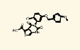 COc1ccc(COc2ccc(Cl)c(-n3c(=O)[nH]c4csc(C(=O)O)c4c3=O)c2)cc1